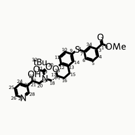 COC(=O)c1cccc(Sc2ccc3c(c2)CC[C@H](CN(C[C@H](O)c2cccnc2)C(=O)OC(C)(C)C)O3)c1